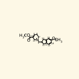 COC(=O)C1=CCCN(CC2Cc3ccc(OC)cc3C2)C1